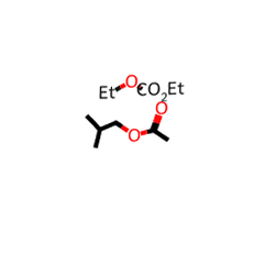 CC(=O)OCC(C)C.CCOC(=O)OCC